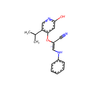 CC(C)c1cnc(O)cc1O/C(C#N)=C/Nc1ccccc1